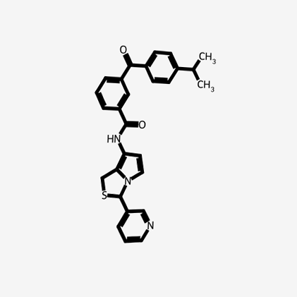 CC(C)c1ccc(C(=O)c2cccc(C(=O)Nc3ccn4c3CSC4c3cccnc3)c2)cc1